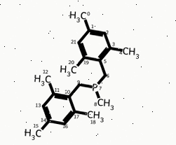 Cc1cc(C)c(CP(C)Cc2c(C)cc(C)cc2C)c(C)c1